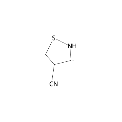 N#CC1[CH]NSC1